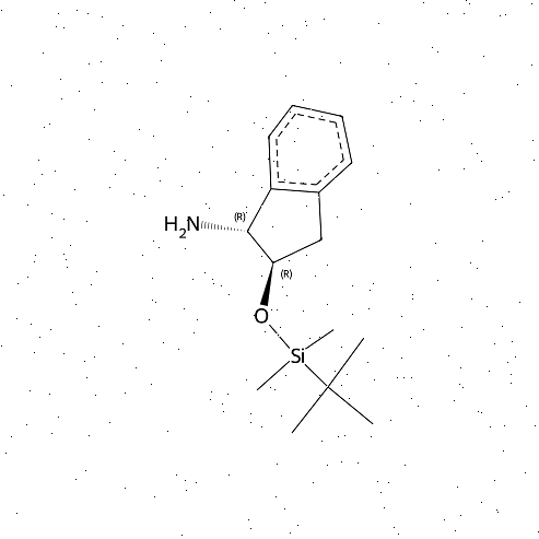 CC(C)(C)[Si](C)(C)O[C@@H]1Cc2ccccc2[C@H]1N